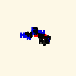 CN1CCC[C@@H]1COc1cc(NC(=O)c2cccnc2NCc2ccnc3[nH]ccc23)ccc1C(F)(F)F